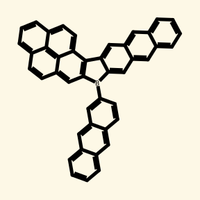 c1ccc2cc3cc(B4c5cc6cc7ccccc7cc6cc5-c5c4cc4ccc6cccc7ccc5c4c67)ccc3cc2c1